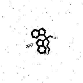 OCCCC(CO)(C1C=Cc2ccccc21)C1C=Cc2ccccc21.[Cl-].[Cl-].[Zr+2]